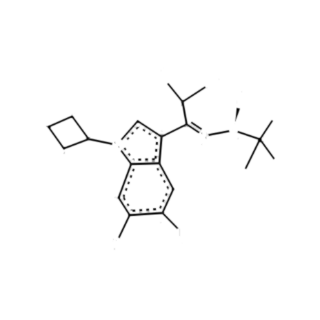 CC(C)(C)[S@+]([O-])N=C(c1cn(C2CCC2)c2cc(Br)c(F)cc12)C(F)F